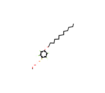 CCCCCCCCCCCCOc1c(F)c(F)c(SOOOC)c(F)c1F